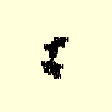 C[C@H](CCC(=O)O[C@@H]1CC[C@@]2(C)[C@@H](C1)C[C@H](O)[C@@H]1[C@@H]2C[C@H](O)[C@]2(C)[C@@H]([C@H](C)CCC(=O)O)CC[C@@H]12)[C@H]1CC[C@H]2[C@@H]3[C@@H](O)C[C@@H]4C[C@H](O)CC[C@]4(C)[C@H]3C[C@H](O)[C@]12C